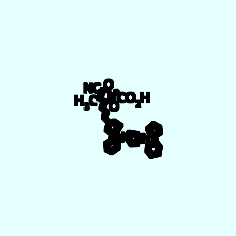 CC1=C(C#N)C(=O)N(CC(=O)O)C(=O)/C1=C\C=C\c1ccc2c(c1)c1ccccc1n2-c1ccc(-n2c3ccccc3c3ccccc32)cc1